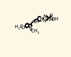 CCN1C=C(CNCC2CCN(c3ncc(C(=O)NO)cn3)CC2)C2C=CC(OC)=CC21